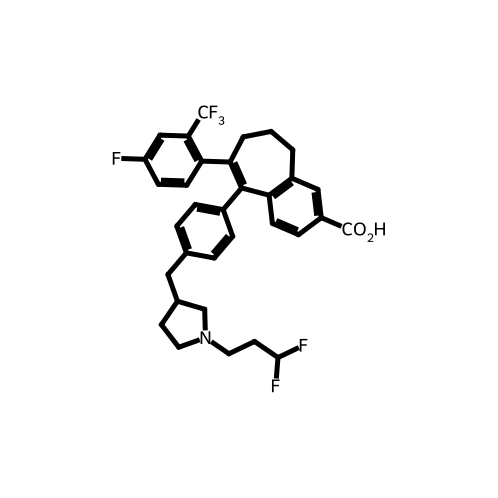 O=C(O)c1ccc2c(c1)CCCC(c1ccc(F)cc1C(F)(F)F)=C2c1ccc(CC2CCN(CCC(F)F)C2)cc1